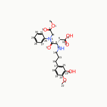 COC(=O)CN(C(=O)[C@H](CC(=O)O)NCCCc1ccc(OC)c(O)c1)c1ccccc1